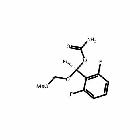 CC[C@](OCOC)(OC(N)=O)c1c(F)cccc1F